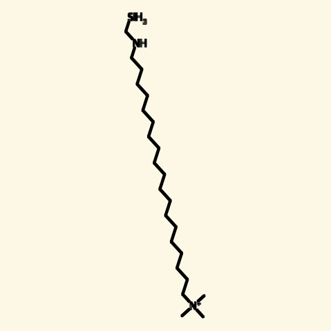 C[N+](C)(C)CCCCCCCCCCCCCCCCCCCNC[SiH3]